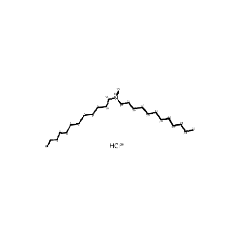 CCCCCCCCCCCCN(C)CCCCCCCCCCCC.Cl